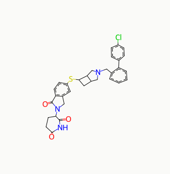 O=C1CCC(N2Cc3cc(SC4CC5CN(Cc6ccccc6-c6ccc(Cl)cc6)CC54)ccc3C2=O)C(=O)N1